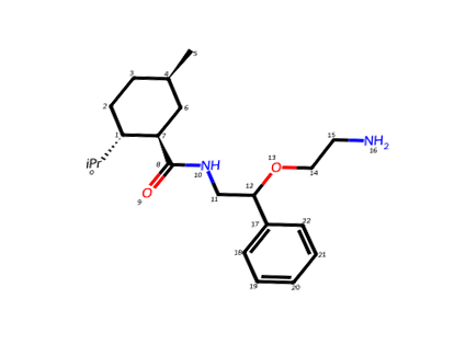 CC(C)[C@@H]1CC[C@@H](C)C[C@H]1C(=O)NCC(OCCN)c1ccccc1